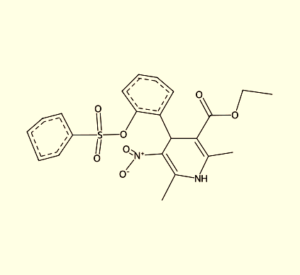 CCOC(=O)C1=C(C)NC(C)=C([N+](=O)[O-])C1c1ccccc1OS(=O)(=O)c1ccccc1